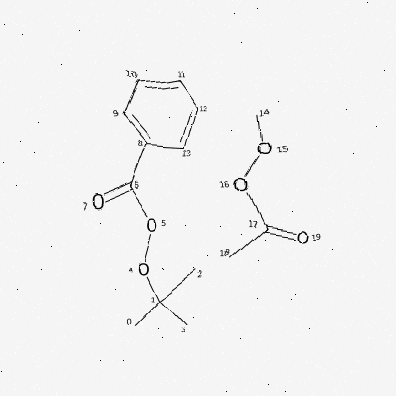 CC(C)(C)OOC(=O)c1ccccc1.COOC(C)=O